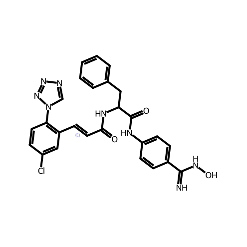 N=C(NO)c1ccc(NC(=O)C(Cc2ccccc2)NC(=O)/C=C/c2cc(Cl)ccc2-n2cnnn2)cc1